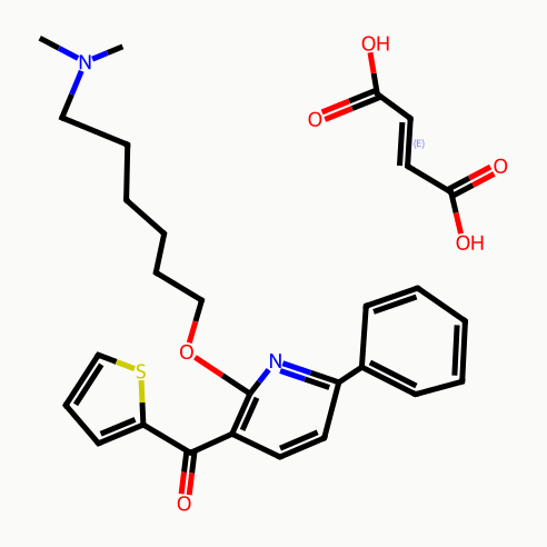 CN(C)CCCCCCOc1nc(-c2ccccc2)ccc1C(=O)c1cccs1.O=C(O)/C=C/C(=O)O